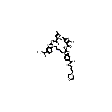 CCn1nc(C)cc1C(=O)Nc1nc2cc(C(N)=O)ccc2n1C/C=C/Cn1c(NC(=O)c2cc(C)nn2CC)nc2cc(C(=O)NCCCN3CCOCC3)ccc21